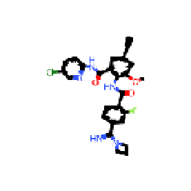 C#Cc1cc(OC)c(NC(=O)c2ccc(C(=N)N3CCC3)cc2F)c(C(=O)Nc2ccc(Cl)cn2)c1